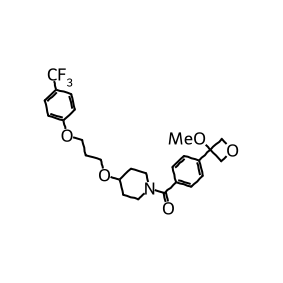 COC1(c2ccc(C(=O)N3CCC(OCCCOc4ccc(C(F)(F)F)cc4)CC3)cc2)COC1